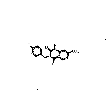 O=C(O)c1ccc2c(=O)n(Cc3ccc(F)cc3)c(=O)[nH]c2c1